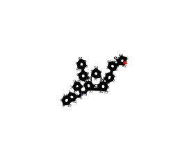 C(=C(\Cc1ccc2ccccc2c1)c1ccccc1)/c1ccc2c3sc4c(cccc4c13)N(c1cccc(-c3ccc4sc5ccccc5c4c3)c1)c1cccc(c1)N2c1cccc(-c2ccccc2)c1